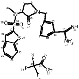 CN(C1CCN(Cc2cccc(C(=N)N)c2)C1=O)S(=O)(=O)c1cc2ccccc2s1.O=C(O)C(F)(F)F